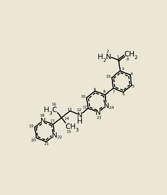 C=C(N)c1cccc(-c2ccc(NCC(C)(C)c3ncccn3)nn2)c1